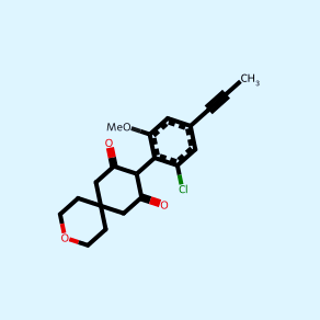 CC#Cc1cc(Cl)c(C2C(=O)CC3(CCOCC3)CC2=O)c(OC)c1